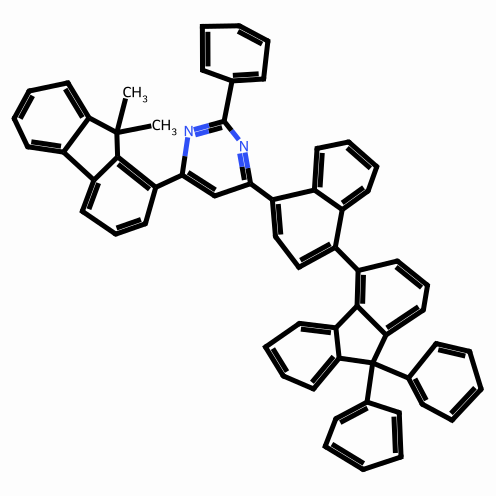 CC1(C)c2ccccc2-c2cccc(-c3cc(-c4ccc(-c5cccc6c5-c5ccccc5C6(c5ccccc5)c5ccccc5)c5ccccc45)nc(-c4ccccc4)n3)c21